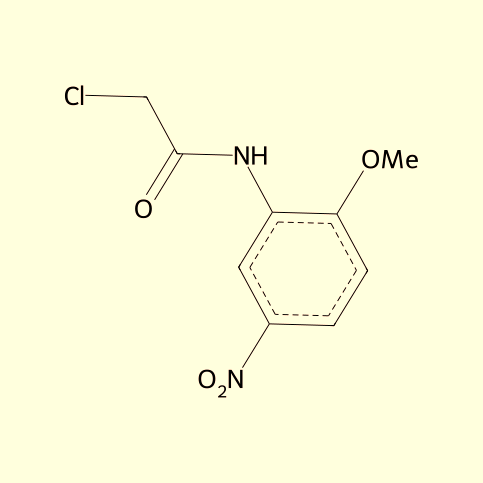 COc1ccc([N+](=O)[O-])cc1NC(=O)CCl